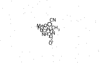 COc1cc(C#N)ccc1N1C(C)=C(C(N)=O)Cc2c(OCC3COC3)ncc(C)c21